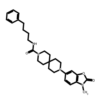 Cn1c(=O)oc2cc(N3CCC4(CCN(C(=O)NCCCCc5ccccc5)CC4)CC3)ccc21